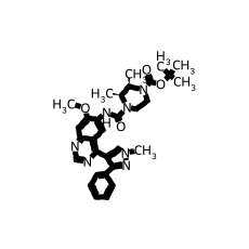 COc1cc2ncnc(-c3cn(C)nc3-c3ccccc3)c2cc1NC(=O)N1CCN(C(=O)OC(C)(C)C)[C@@H](C)[C@H]1C